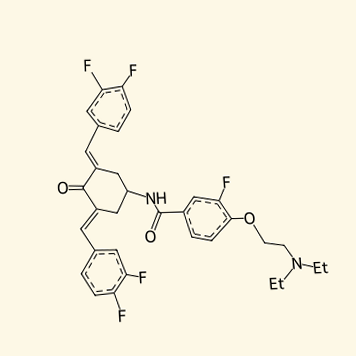 CCN(CC)CCOc1ccc(C(=O)NC2CC(=Cc3ccc(F)c(F)c3)C(=O)C(=Cc3ccc(F)c(F)c3)C2)cc1F